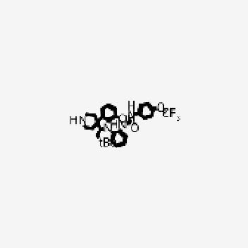 CC(C)(C)CC1N(c2ccccc2NC(=O)Nc2ccc(OC(F)(F)F)cc2)c2c(O)cccc2C12CCNCC2